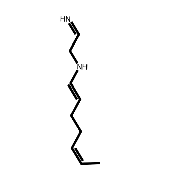 C/C=C\CC/C=C/NCC=N